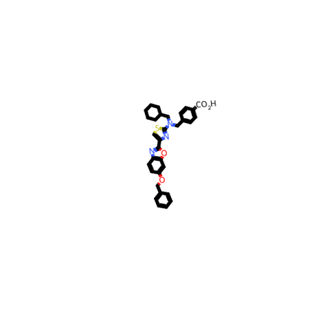 O=C(O)c1ccc(CN(CC2CCCCC2)c2nc(-c3nc4ccc(OCc5ccccc5)cc4o3)cs2)cc1